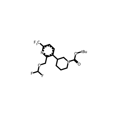 CC(C)(C)OC(=O)N1CCCC(c2ccc(C(F)(F)F)nc2COC(F)F)C1